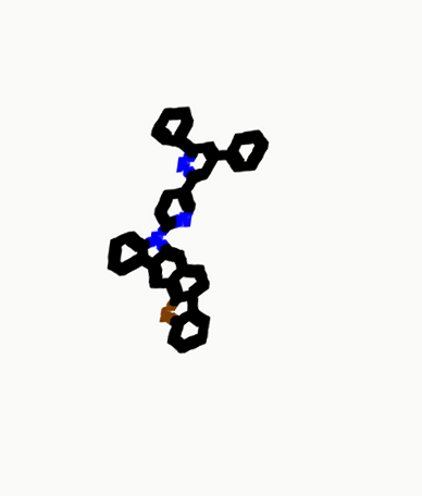 c1ccc(-c2cc(-c3ccccc3)nc(-c3ccc(-n4c5ccccc5c5cc6c(ccc7c8ccccc8sc67)cc54)nc3)c2)cc1